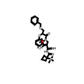 CC1(C)C(N)=C(C(=N)NC(=O)C2(S(C)(C)C)CCC2)CN1C(=O)C(COCc1ccccc1)Oc1ccccc1